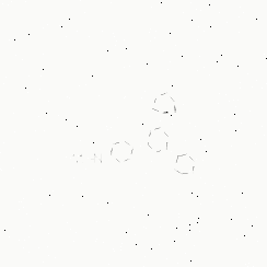 CNc1ccc(-c2cc(-c3ccccc3)cc(-c3ccccc3)c2)cc1